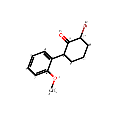 COc1ccccc1C1CCCC(Br)C1=O